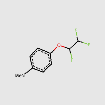 CNc1ccc(OC(F)C(F)F)cc1